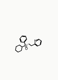 O=[P@](CCc1ccccn1)(c1ccccc1)C1CCCCC1